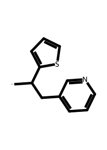 [CH2]C(Cc1cccnc1)c1cccs1